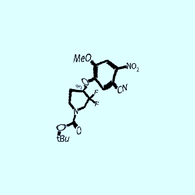 COc1cc([N+](=O)[O-])c(C#N)cc1O[C@@H]1CCN(C(=O)OC(C)(C)C)CC1(F)F